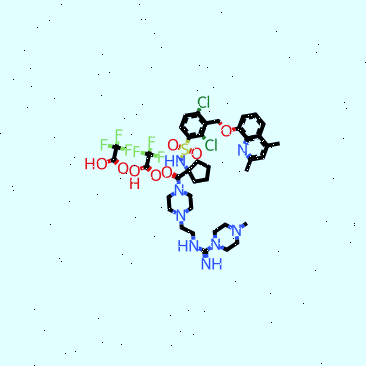 Cc1cc(C)c2cccc(OCc3c(Cl)ccc(S(=O)(=O)NC4(C(=O)N5CCN(CCNC(=N)N6CCN(C)CC6)CC5)CCCC4)c3Cl)c2n1.O=C(O)C(F)(F)F.O=C(O)C(F)(F)F